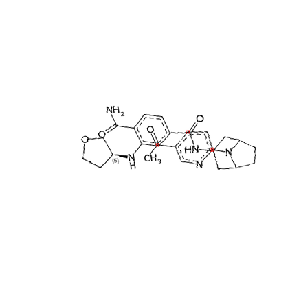 CC(=O)c1ccc(N2C3CCC2CC(NC(=O)c2ccc(C(N)=O)c(N[C@H]4CCOC4)c2)C3)nc1